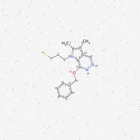 Cc1c(C)n(CCCF)c2c(OCc3ccccc3)nncc12